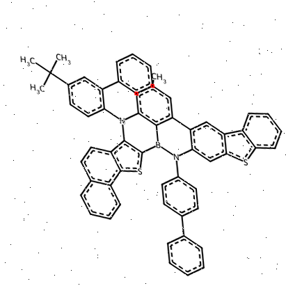 Cc1cc2c3c(c1)N(c1ccc(C(C)(C)C)cc1-c1ccccc1)c1c(sc4c1ccc1ccccc14)B3N(c1ccc(-c3ccccc3)cc1)c1cc3sc4ccccc4c3cc1-2